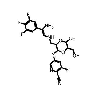 N#Cc1ncc(SC2OC(CO)C(O)OC2CN/C=C(\N)c2cc(F)c(F)c(F)c2)cc1Br